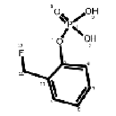 O=P(O)(O)Oc1ccccc1CF